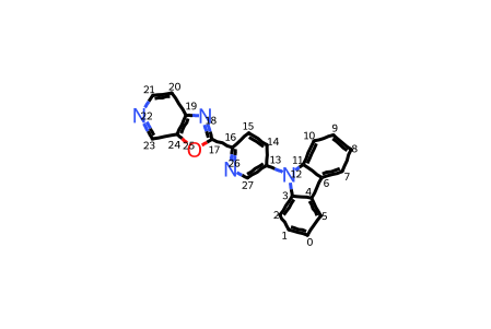 c1ccc2c(c1)c1ccccc1n2-c1ccc(-c2nc3ccncc3o2)nc1